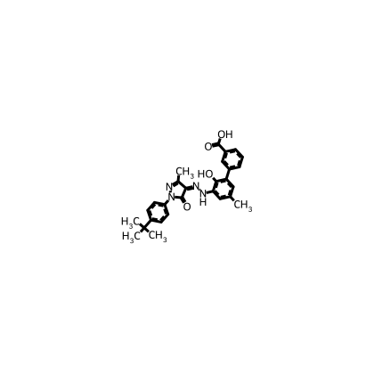 CC1=NN(c2ccc(C(C)(C)C)cc2)C(=O)/C1=N\Nc1cc(C)cc(-c2cccc(C(=O)O)c2)c1O